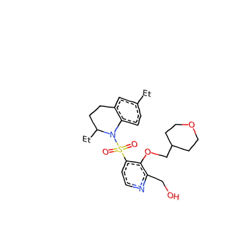 CCc1ccc2c(c1)CCC(CC)N2S(=O)(=O)c1ccnc(CO)c1OCC1CCOCC1